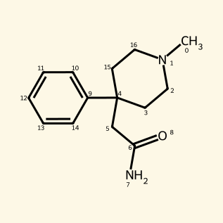 CN1CCC(CC(N)=O)(c2ccccc2)CC1